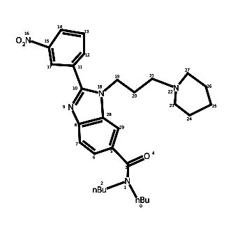 CCCCN(CCCC)C(=O)c1ccc2nc(-c3cccc([N+](=O)[O-])c3)n(CCCN3CCCCC3)c2c1